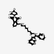 O=C1CCC(N2C(=O)c3cccc(NCCCCCCC(=O)NC(c4cccnc4)c4cc5cccnc5s4)c3C2=O)C(=O)N1